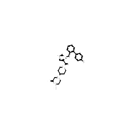 C[C@H]1CN(C(=O)c2cncn2[C@@H](C)c2ccccc2-c2ccc(F)cc2)CCC1N1CCNC(=O)C1